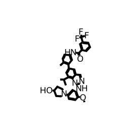 COc1ccc(N2CCC(O)CC2)cc1Nc1ncc2cc(-c3cc(NC(=O)c4cccc(C(F)(F)F)c4)ccc3C)cc(C(C)C)c2n1